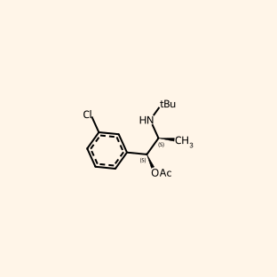 CC(=O)O[C@@H](c1cccc(Cl)c1)[C@H](C)NC(C)(C)C